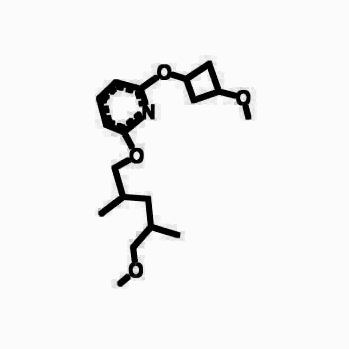 COCC(C)CC(C)COc1cccc(OC2CC(OC)C2)n1